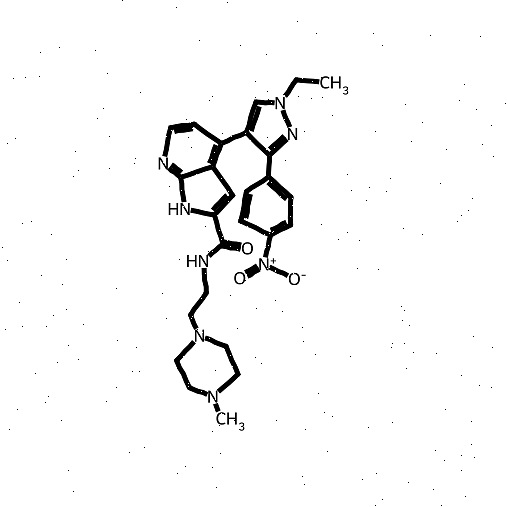 CCn1cc(-c2ccnc3[nH]c(C(=O)NCCN4CCN(C)CC4)cc23)c(-c2ccc([N+](=O)[O-])cc2)n1